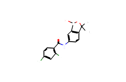 CC1(C)OB(O)c2cc(NC(=O)c3ccc(Br)cc3Cl)ccc21